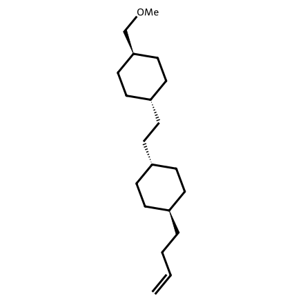 C=CCC[C@H]1CC[C@H](CC[C@H]2CC[C@H](COC)CC2)CC1